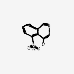 O=[SH](=O)c1cccc2cncc(Cl)c12